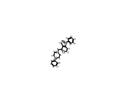 c1ccc(N2CCN(CC3OCCc4c3cnn4-c3ccccc3)CC2)cc1